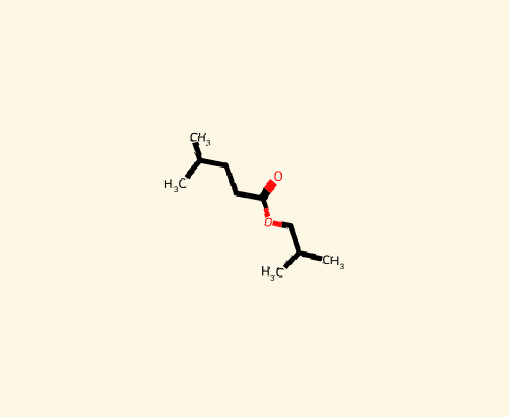 CC(C)CCC(=O)OCC(C)C